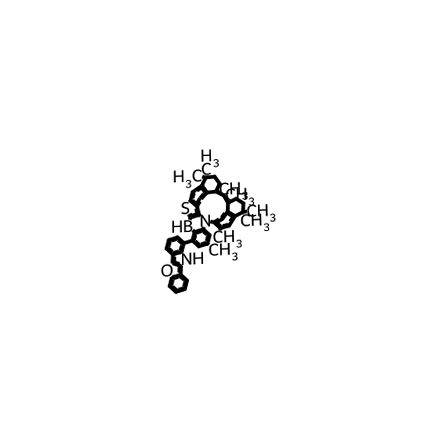 Cc1cc(-c2cccc3c2[nH]c2c4ccccc4oc32)c2c(c1)N1c3cc4c(cc3C)C(C)(C)CCC4(C)CC3(C)CCC(C)(C)c4cc5sc(c1c5cc43)B2